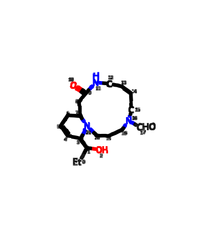 CCC(O)C1C=CCC2CC(=O)NCCCCN(C=O)CCCN21